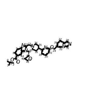 CC(C)(C)OC(=O)c1ccc2nc(CN3CCC(c4cccc(OCc5ccc6cncn6c5)n4)CC3)n(C[C@@H]3CCO3)c2c1